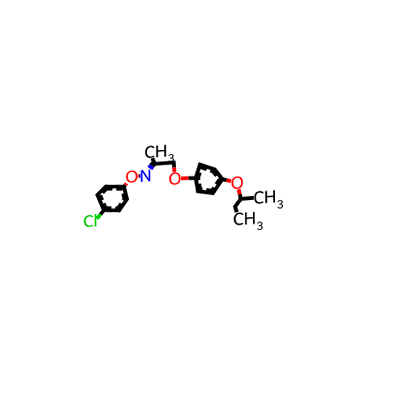 CCC(C)Oc1ccc(OCC(C)=NOc2ccc(Cl)cc2)cc1